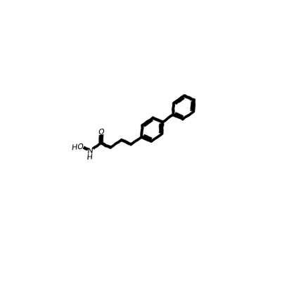 O=C(CCCc1ccc(-c2ccccc2)cc1)NO